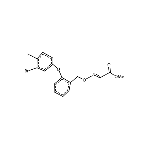 COC(=O)C=NOCc1ccccc1Oc1ccc(F)c(Br)c1